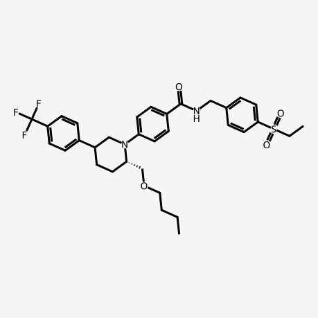 CCCCOC[C@@H]1CCC(c2ccc(C(F)(F)F)cc2)CN1c1ccc(C(=O)NCc2ccc(S(=O)(=O)CC)cc2)cc1